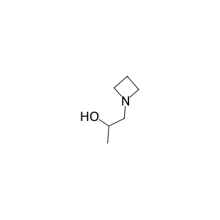 CC(O)CN1CCC1